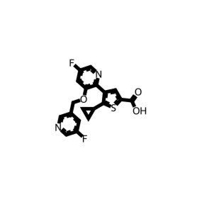 O=C(O)c1cc(-c2ncc(F)cc2OCc2cncc(F)c2)c(C2CC2)s1